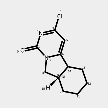 O=c1nc(Cl)cc2n1C[C@H]1CCCCC21